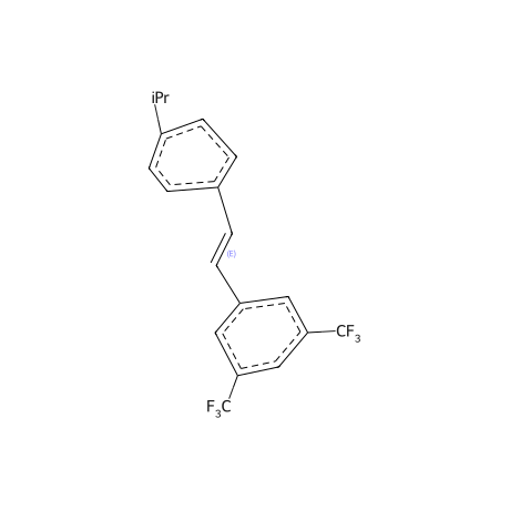 CC(C)c1ccc(/C=C/c2cc(C(F)(F)F)cc(C(F)(F)F)c2)cc1